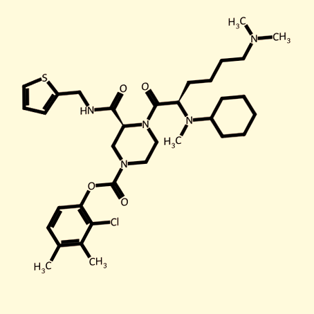 Cc1ccc(OC(=O)N2CCN(C(=O)[C@@H](CCCCN(C)C)N(C)C3CCCCC3)[C@H](C(=O)NCc3cccs3)C2)c(Cl)c1C